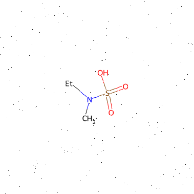 [CH2]N(CC)S(=O)(=O)O